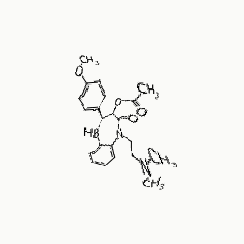 COc1ccc([C@@H]2Bc3ccccc3N(CCN(C)C)C(=O)[C@@H]2OC(C)=O)cc1